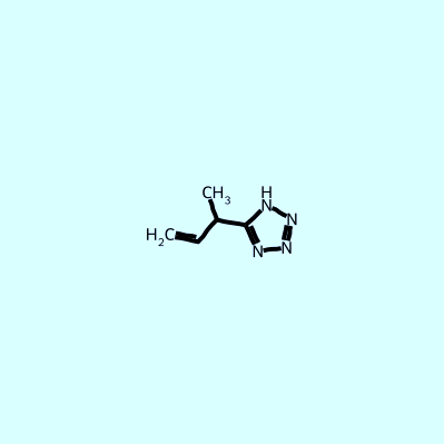 C=CC(C)c1nnn[nH]1